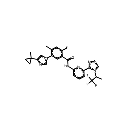 Cc1cc(F)c(C(=O)Nc2cccc(-c3nncn3C(C)C(F)(F)F)n2)cc1-n1cnc(C2(C)CC2)c1